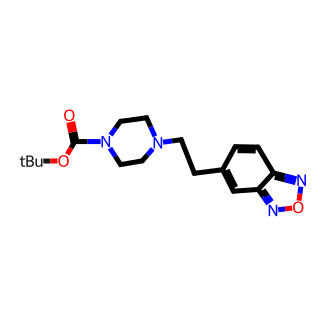 CC(C)(C)OC(=O)N1CCN(CCc2ccc3nonc3c2)CC1